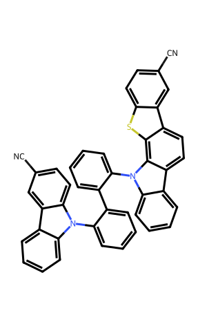 N#Cc1ccc2sc3c(ccc4c5ccccc5n(-c5ccccc5-c5ccccc5-n5c6ccccc6c6cc(C#N)ccc65)c43)c2c1